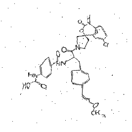 COC/C=C/c1ccc(CC(NC(=O)c2ccc(NC(=O)O)cc2)C(=O)N2CC[C@@]3(C2)OC(=O)Nc2ccc(Cl)cc23)cc1